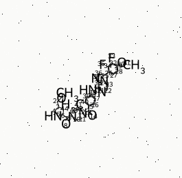 COC[C@@H]1CN[C@H](C(=O)N2CCN(C(=O)c3ccc(Nc4nccn5c(-c6ccc(OC)c(F)c6F)cnc45)cc3C)CC2)C1